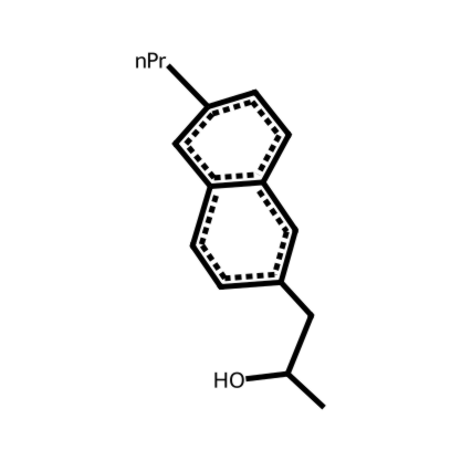 CCCc1ccc2cc(CC(C)O)ccc2c1